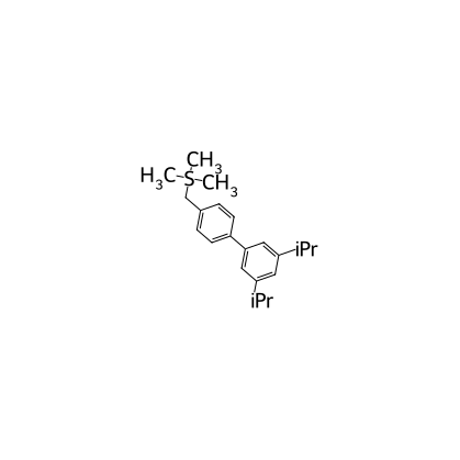 CC(C)c1cc(-c2ccc(CS(C)(C)C)cc2)cc(C(C)C)c1